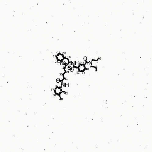 CCCN(CCC)C(=O)c1cccc(C(=O)NC(Cc2ccccc2)P(=O)(O)CCCCC(=O)Nc2cccc(C)c2C)c1